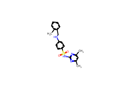 Cc1cc(C)nc(NS(=O)(=O)c2ccc(NCc3ccccc3C)cc2)n1